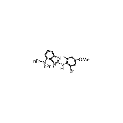 CCCN(CCC)c1cccc2nc(Nc3c(C)cc(OC)cc3Br)n(C)c12